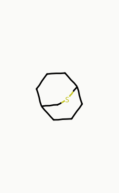 C1CC2CCCC(C1)SC2